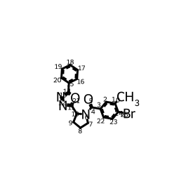 Cc1cc(C(=O)N2CCCC2c2nnc(-c3ccccc3)o2)ccc1Br